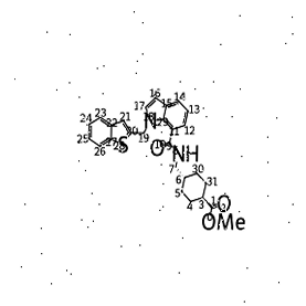 COC(=O)[C@H]1CC[C@H](CNC(=O)c2cccc3ccn(Cc4cc5ccccc5s4)c23)CC1